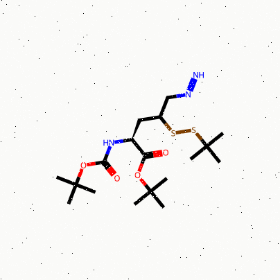 CC(C)(C)OC(=O)N[C@@H](CC(CN=N)SSC(C)(C)C)C(=O)OC(C)(C)C